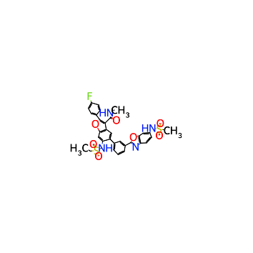 CCS(=O)(=O)Nc1cc2oc(-c3ccc(F)cc3)c(C(=O)NC)c2cc1-c1cccc(-c2nc3ccc(NS(C)(=O)=O)cc3o2)c1